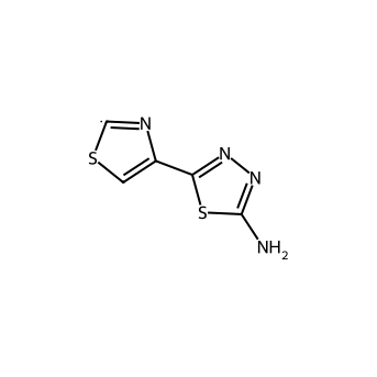 Nc1nnc(-c2cs[c]n2)s1